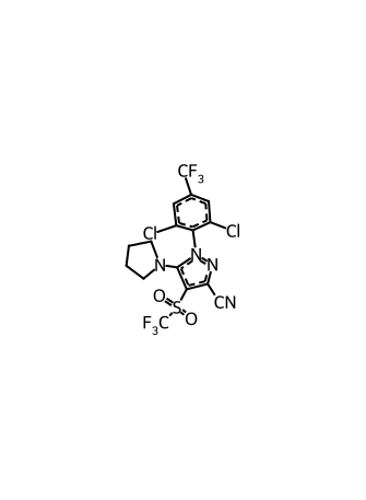 N#Cc1nn(-c2c(Cl)cc(C(F)(F)F)cc2Cl)c(N2CCCC2)c1S(=O)(=O)C(F)(F)F